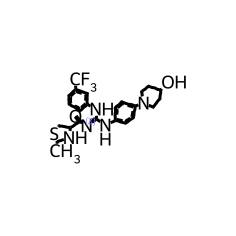 CC1NC(C(=O)/N=C(/Nc2ccc(N3CCC(O)CC3)cc2)Nc2cccc(C(F)(F)F)c2)CS1